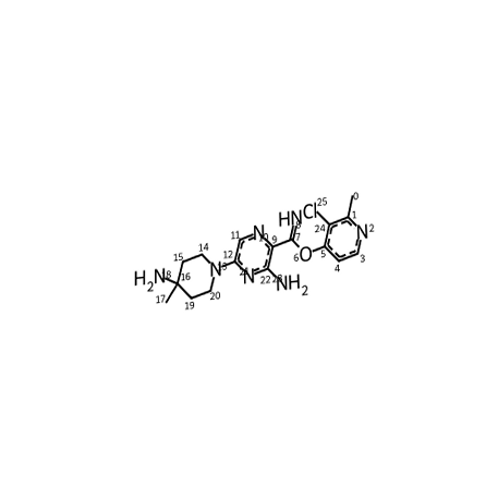 Cc1nccc(OC(=N)c2ncc(N3CCC(C)(N)CC3)nc2N)c1Cl